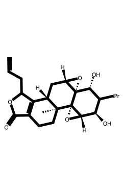 C=CCC1OC(=O)C2=C1[C@@H]1C[C@@H]3O[C@@]34[C@H](O)C(C(C)C)[C@@H](O)[C@@H]3O[C@@]34[C@@]1(C)CC2